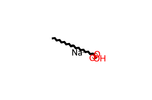 CCCCCCCCC=CCCCCCCCCS(=O)(=O)O.[Na]